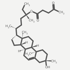 CC[C@@](C)(CC[C@@H](C)[C@H]1CC[C@H]2[C@@H]3CC=C4C[C@@](C)(O)CC[C@]4(C)[C@H]3CC[C@]12C)OC(=O)CCC(C)=O